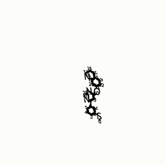 CSc1cccc(-c2cc(Oc3ccc4cccnc4c3)ncn2)c1